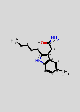 CCCCCc1[nH]c2ccc(C)cc2c1CC(N)=O